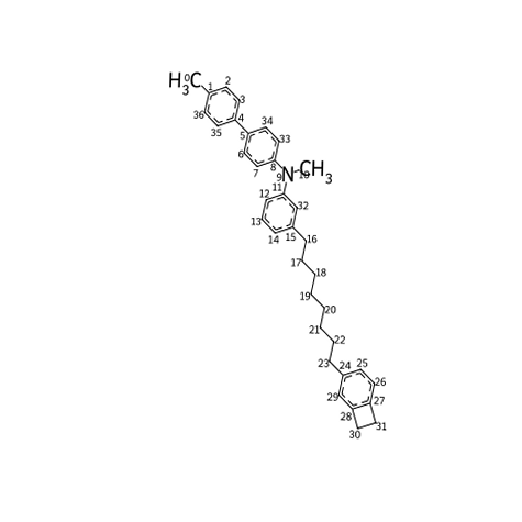 Cc1ccc(-c2ccc(N(C)c3cccc(CCCCCCCCc4ccc5c(c4)CC5)c3)cc2)cc1